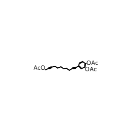 CC(=O)OCC#CCCCCCCC#Cc1ccc(OC(C)=O)c(OC(C)=O)c1